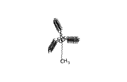 CCCCCCCCCCCCCCCCCC(=O)Oc1c(CSCCC(F)(F)C(F)(F)C(F)(F)C(F)(F)C(F)(F)C(F)(F)C(F)(F)C(F)(F)F)cc(CSCCC(F)(F)C(F)(F)C(F)(F)C(F)(F)C(F)(F)C(F)(F)C(F)(F)C(F)(F)F)cc1CSCCC(F)(F)C(F)(F)C(F)(F)C(F)(F)C(F)(F)C(F)(F)C(F)(F)C(F)(F)F